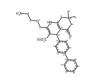 CCOC(=O)C1=C(COCCN)NC2=C(C(=O)CC(C)(C)C2)C1c1ccc(-c2ccccc2)cc1